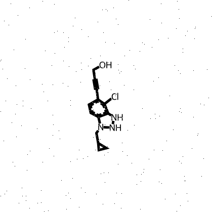 OCC#Cc1ccc2c(c1Cl)NNN2CC1CC1